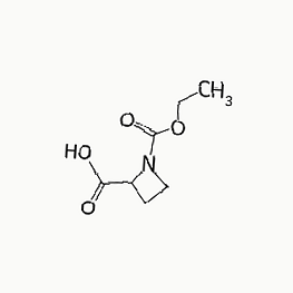 CCOC(=O)N1CCC1C(=O)O